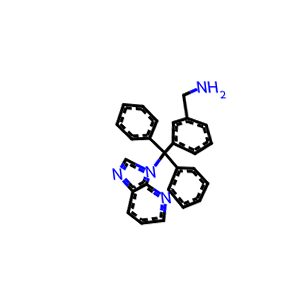 NCc1cccc(C(c2ccccc2)(c2ccccc2)n2cnc3cccnc32)c1